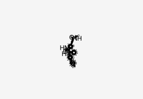 CCNC(=O)C#Cc1ccc2c(c1)NC(=O)/C2=C(\Nc1ccc(N2CCN(C)CC2)cc1)C1=CCCC=C1